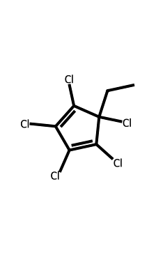 CCC1(Cl)C(Cl)=C(Cl)C(Cl)=C1Cl